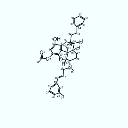 CC(=O)Oc1cc(O)c2c3c1O[C@H]1[C@H](N(C)CC=Cc4cccc(C)c4)CC[C@H]4[C@@H](C2)N(CCc2ccccc2)CC[C@@]341